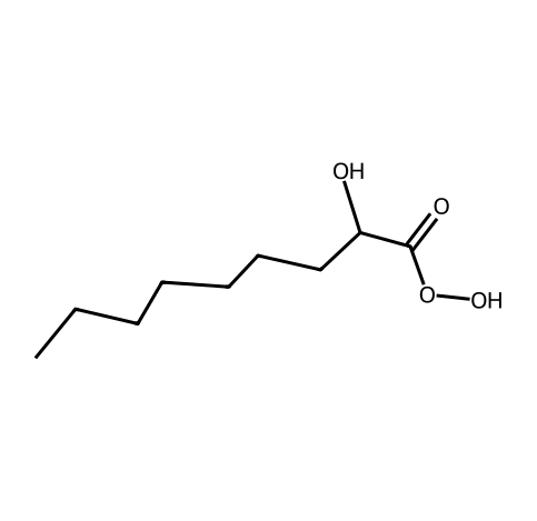 CCCCCCCC(O)C(=O)OO